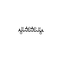 C=C(C)C(=O)NCCCN(CCCN(CCCNC(=O)C(=C)C)C(=O)C(=C)C)C(=O)C(=C)C